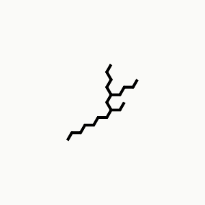 CCCCCCCC(CC)CC(CCCC)CCCC